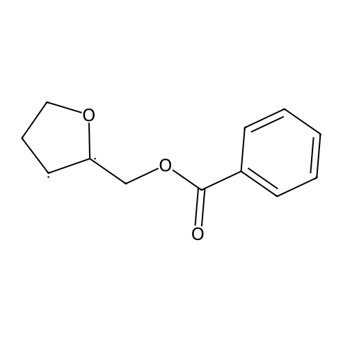 O=C(OC[C]1[CH]CCO1)c1ccccc1